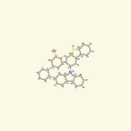 Brc1cccc(-c2ccccc2-c2ccc3c4ccccc4n(-c4ccc5sc6ccccc6c5c4)c3c2)c1